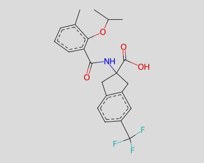 Cc1cccc(C(=O)NC2(C(=O)O)Cc3ccc(C(F)(F)F)cc3C2)c1OC(C)C